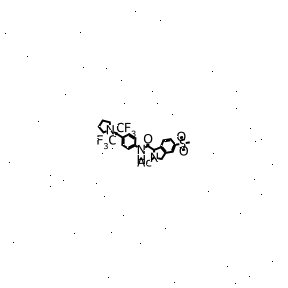 CC(=O)N1Cc2cc(S(C)(=O)=O)ccc2C1C(=O)Nc1ccc(C(N2CCCC2)(C(F)(F)F)C(F)(F)F)cc1